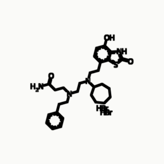 Br.Br.NC(=O)CCN(CCc1ccccc1)CCN(CCc1ccc(O)c2[nH]c(=O)sc12)C1CCCCCC1